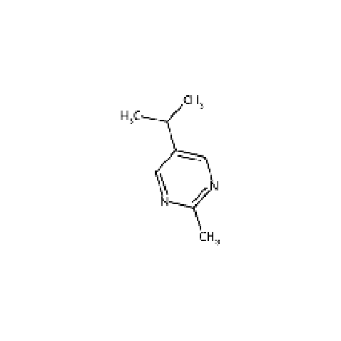 Cc1ncc(C(C)C)cn1